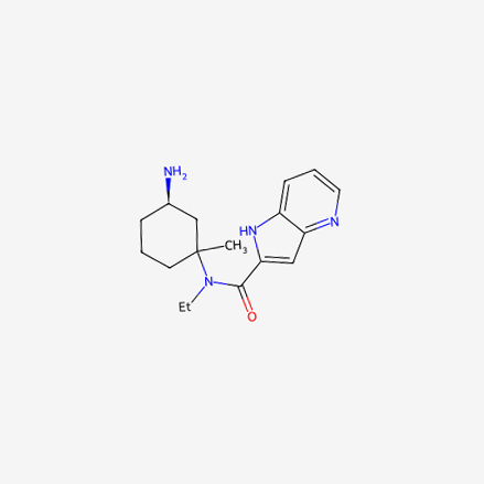 CCN(C(=O)c1cc2ncccc2[nH]1)C1(C)CCC[C@@H](N)C1